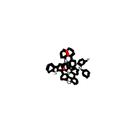 Fc1cccc(N(c2ccccc2)c2cc(-c3cccc4oc5ccc(-c6cc(N(c7ccccc7)c7ccccc7-c7ccccc7)cc7c6sc6ccccc67)cc5c34)c3sc4ccccc4c3c2)c1